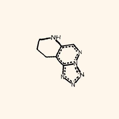 c1nn2nnnc2c2c1NCCC2